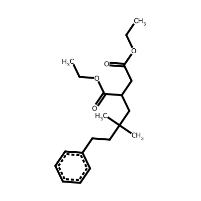 CCOC(=O)CC(CC(C)(C)CCc1ccccc1)C(=O)OCC